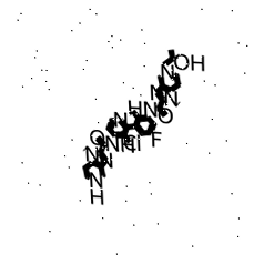 Cc1c(NC(=O)c2nc3c(n2C)CCN(CC(C)O)C3)cc(F)cc1-c1nccc(NC(=O)c2nc3c(n2C)CCNC3)c1Cl